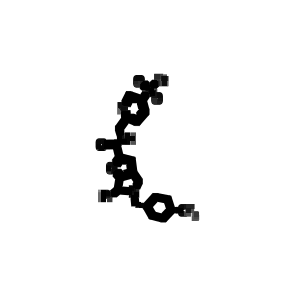 CCS(=O)(=O)c1ccc(CNC(=O)c2cc3c(o2)C(C(C)C)N(C[C@H]2CC[C@H](C(F)(F)F)CC2)C3)nc1